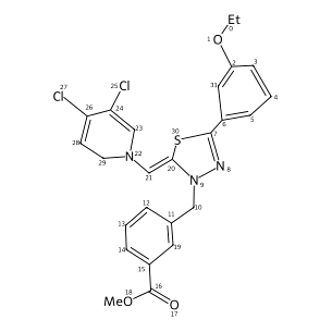 CCOc1cccc(C2=NN(Cc3cccc(C(=O)OC)c3)C(=CN3C=C(Cl)C(Cl)=CC3)S2)c1